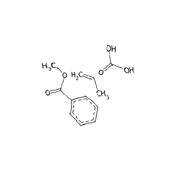 C=CC.COC(=O)c1ccccc1.O=C(O)O